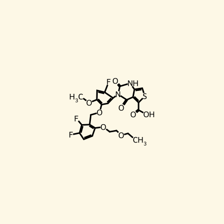 CCOCCOc1ccc(F)c(F)c1COc1cc(-n2c(=O)[nH]c3csc(C(=O)O)c3c2=O)c(F)cc1OC